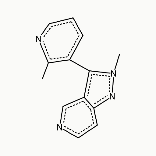 Cc1ncccc1-c1c2cnccc2nn1C